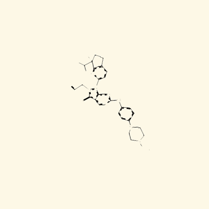 C=CCn1c(=O)c2cnc(Nc3ccc(N4CCN(C)CC4)cc3)nc2n1-c1ccc2c(n1)[C@](O)(C(F)F)CC2